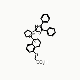 O=C(O)COc1cccc2c1CCC[C@H]2N1CCC[C@H]1c1nc(-c2ccccc2)c(-c2ccccc2)o1